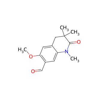 COc1cc2c(cc1C=O)N(C)C(=O)C(C)(C)C2